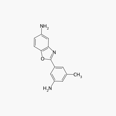 Cc1cc(N)cc(-c2nc3cc(N)ccc3o2)c1